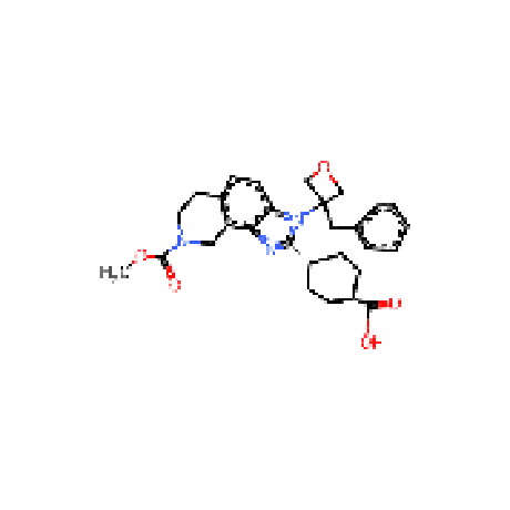 COC(=O)N1CCc2ccc3c(nc([C@H]4CC[C@H](C(=O)O)CC4)n3C3(Cc4ccccc4)COC3)c2C1